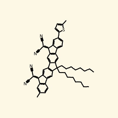 CCCCCCCCC1(CCCCCCCC)c2cc3c(cc2-c2cc4c(cc21)-c1ccc(-c2ccc(C)s2)cc1C4=C(C#N)C#N)C(=C(C#N)C#N)c1cc(C)ccc1-3